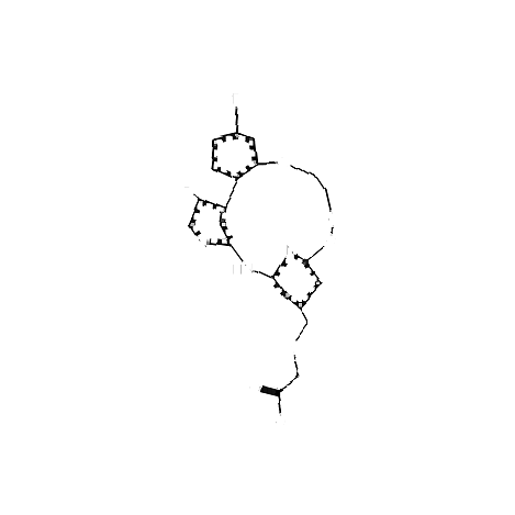 O=C(O)CSCc1cc2nc(c1)OCCCOc1cc(F)ccc1-c1cc(ncc1F)N2